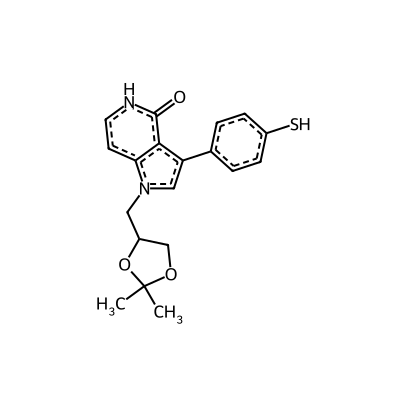 CC1(C)OCC(Cn2cc(-c3ccc(S)cc3)c3c(=O)[nH]ccc32)O1